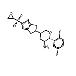 N[C@H]1C[C@@H](N2Cc3cn(S(=O)(=O)C4CO4)nc3C2)CO[C@@H]1c1cc(F)ccc1F